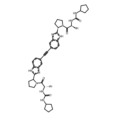 CC(C)[C@H](NC(=O)NC1CCCC1)C(=O)N1CCCC1c1nc2cc(C#Cc3ccc4[nH]c([C@H]5CCCN5C(=O)[C@@H](NC(=O)NC5CCCC5)C(C)C)nc4c3)ccc2[nH]1